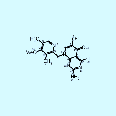 CCCc1cn(Cc2ncc(C)c(OC)c2C)c2nc(N)nc(Cl)c2c1=O